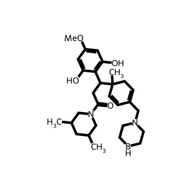 COc1cc(O)c(C(CC(=O)N2CC(C)CC(C)C2)C2(C)C=CC(CN3CCBCC3)=CC2)c(O)c1